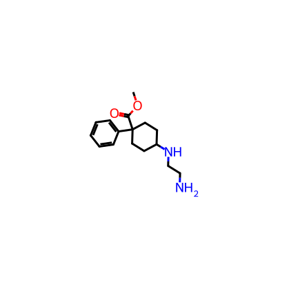 COC(=O)C1(c2ccccc2)CCC(NCCN)CC1